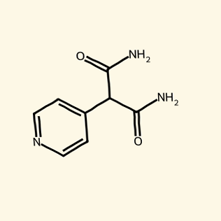 NC(=O)C(C(N)=O)c1ccncc1